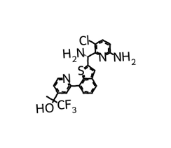 CC(O)(c1ccnc(-c2cccc3cc([C@H](N)c4nc(N)ccc4Cl)sc23)c1)C(F)(F)F